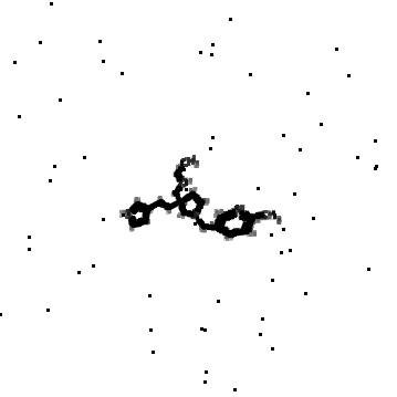 CCOC[C@@]1(CCc2ccsc2)CCN(Cc2ccc(C)nc2)C1